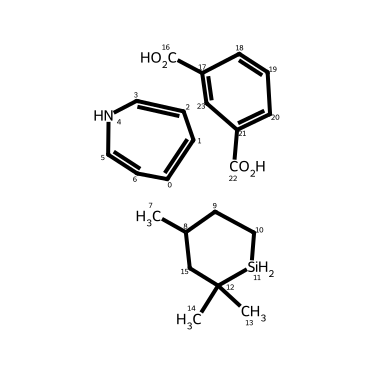 C1=CC=CNC=C1.CC1CC[SiH2]C(C)(C)C1.O=C(O)c1cccc(C(=O)O)c1